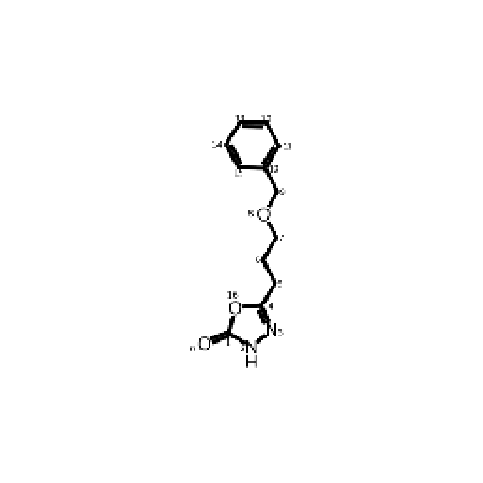 O=c1[nH]nc(CCCOCc2ccccc2)o1